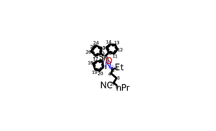 CCCC(C#N)CC/C(CC)=N/O[Si](c1ccccc1)(c1ccccc1)c1ccccc1